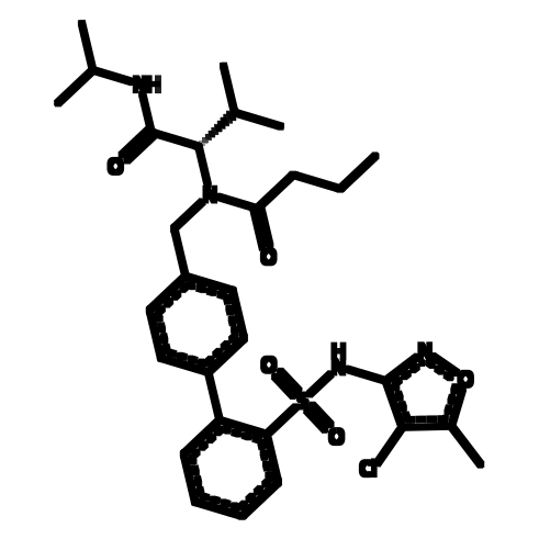 CCCC(=O)N(Cc1ccc(-c2ccccc2S(=O)(=O)Nc2noc(C)c2Cl)cc1)[C@H](C(=O)NC(C)C)C(C)C